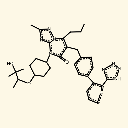 CCCc1c(Cc2ccc(-c3ccccc3-c3nnn[nH]3)cc2)c(=O)n(C2CCC(OC(C)C(C)(C)O)CC2)c2nc(C)nn12